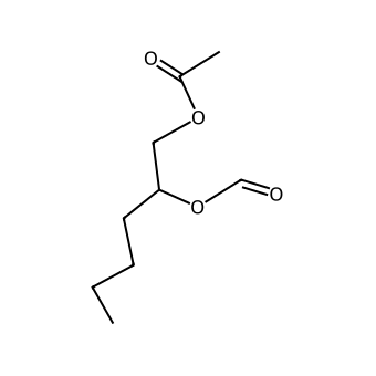 CCCCC(COC(C)=O)OC=O